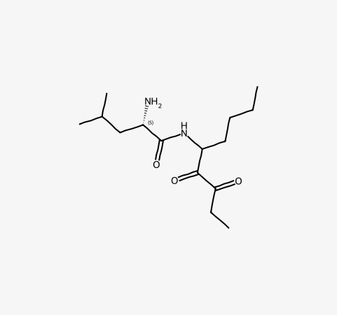 CCCCC(NC(=O)[C@@H](N)CC(C)C)C(=O)C(=O)CC